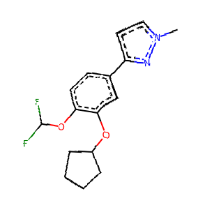 Cn1ccc(-c2ccc(OC(F)F)c(OC3CCCC3)c2)n1